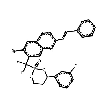 O=P1(C(F)(F)c2cc3nc(/C=C/c4ccccc4)ccc3cc2Br)OCCC(c2cccc(Cl)c2)O1